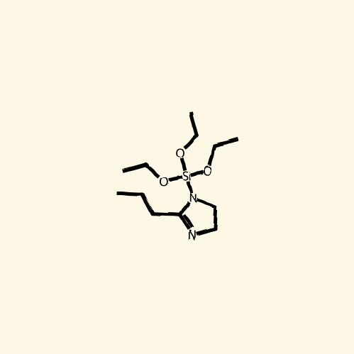 CCCC1=NCCN1[Si](OCC)(OCC)OCC